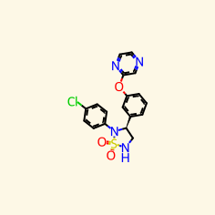 O=S1(=O)NC[C@H](c2cccc(Oc3cnccn3)c2)N1c1ccc(Cl)cc1